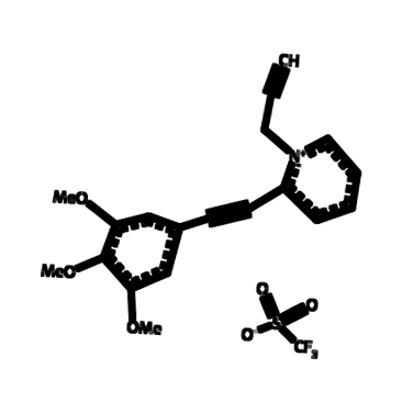 C#CC[n+]1ccccc1C#Cc1cc(OC)c(OC)c(OC)c1.O=S(=O)([O-])C(F)(F)F